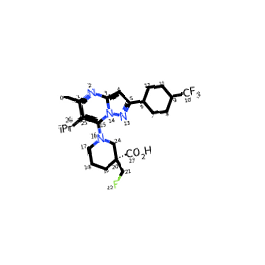 Cc1nc2cc(C3CCC(C(F)(F)F)CC3)nn2c(N2CCC[C@@](CF)(C(=O)O)C2)c1C(C)C